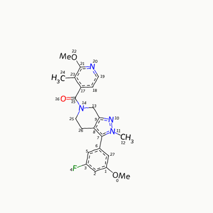 COc1cc(F)cc(-c2c3c(nn2C)CN(C(=O)c2ccnc(OC)c2C)CC3)c1